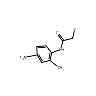 Cc1cc(N)ccc1NC(=O)CCl